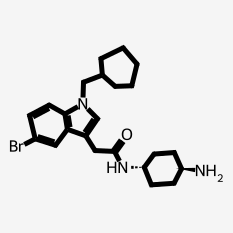 N[C@H]1CC[C@H](NC(=O)Cc2cn(CC3CCCCC3)c3ccc(Br)cc23)CC1